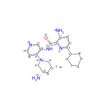 Nc1ccc(C2CCCCC2)nc1C(=O)Nc1cnccc1N1C[C@@H](N)C[C@@H](F)C1